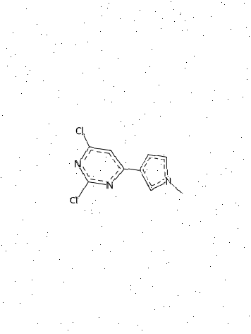 Cn1ccc(-c2cc(Cl)nc(Cl)n2)c1